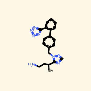 CCCC(CCN)c1ncnn1Cc1ccc(-c2ccccc2-c2nnn[nH]2)cc1